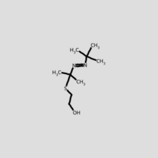 CC(C)(C)N=NC(C)(C)SCCO